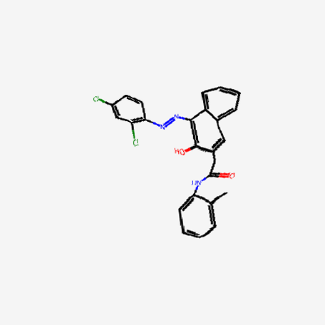 Cc1ccccc1NC(=O)c1cc2ccccc2c(/N=N/c2ccc(Cl)cc2Cl)c1O